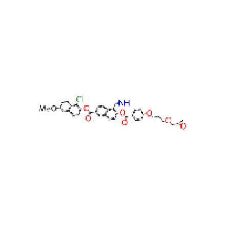 COc1ccc2c(Cl)c(OC(=O)c3ccc4c(C=N)c(OC(=O)c5ccc(OCCCOCC6CO6)cc5)ccc4c3)ccc2c1